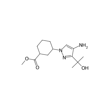 COC(=O)C1CCCC(n2cc(N)c(C(C)(C)O)n2)C1